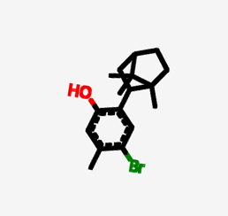 Cc1cc(O)c(C2CC3CCC2(C)C3(C)C)cc1Br